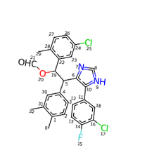 Cc1ccc(C(c2nc[nH]c2-c2ccc(F)c(Cl)c2)C(OC=O)c2cc(Cl)ccc2C)cc1C